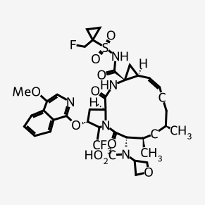 COc1cnc(O[C@@H]2C[C@H]3C(=O)N[C@]4(C(=O)NS(=O)(=O)C5(CF)CC5)C[C@H]4/C=C\CC[C@@H](C)C[C@@H](C)[C@H](N(C(=O)O)C4COC4)C(=O)N3C2C(F)(F)F)c2ccccc12